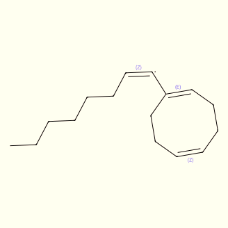 CCCCCC/C=[C]\C1=C\CC/C=C\CC1